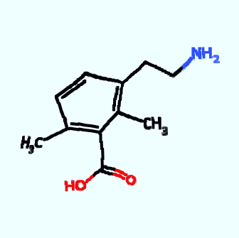 Cc1ccc(CCN)c(C)c1C(=O)O